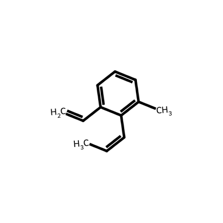 C=Cc1cccc(C)c1/C=C\C